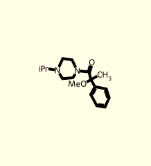 COC(C)(C(=O)N1CCN(C(C)C)CC1)c1ccccc1